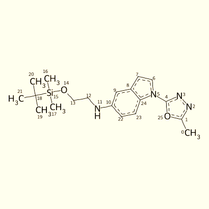 Cc1nnc(-n2ccc3cc(NCCO[Si](C)(C)C(C)(C)C)ccc32)o1